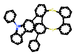 c1ccc(-c2ccc3c(c2)Sc2ccccc2-c2ccccc2Sc2cccc(-c4ccc5c6ccccc6n(-c6ccccc6)c5c4)c2-3)cc1